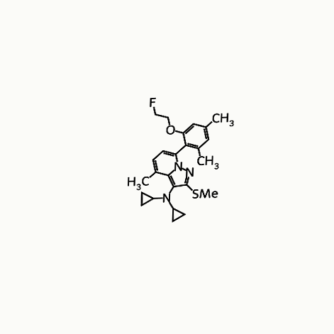 CSc1nn2c(-c3c(C)cc(C)cc3OCCF)ccc(C)c2c1N(C1CC1)C1CC1